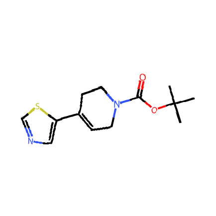 CC(C)(C)OC(=O)N1CC=C(c2cncs2)CC1